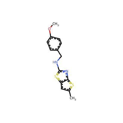 COc1ccc(CNc2nc3sc(C)cc3s2)cc1